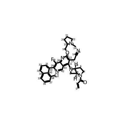 C=CC(=O)N1CC[C@@H]2[C@H]1CN2c1c(CC#N)c(OCC2CCCN2C)nc2c(F)c(-c3cccc4cccc(Cl)c34)ncc12